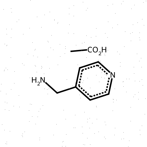 CC(=O)O.NCc1ccncc1